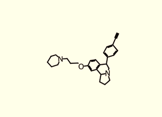 C#Cc1ccc(C2CN3CCCC3c3cc(OCCCN4CCCCC4)ccc32)cc1